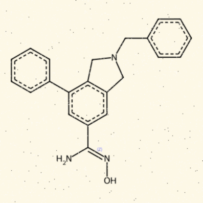 N/C(=N\O)c1cc2c(c(-c3ccccc3)c1)CN(Cc1ccccc1)C2